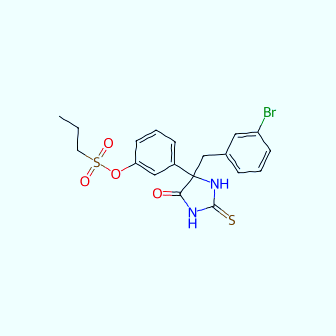 CCCS(=O)(=O)Oc1cccc(C2(Cc3cccc(Br)c3)NC(=S)NC2=O)c1